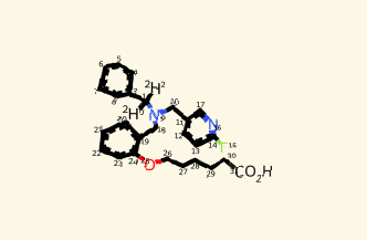 [2H]C([2H])(c1ccccc1)N(Cc1ccc(F)nc1)Cc1ccccc1OCCCCCC(=O)O